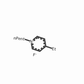 CCCCC[n+]1ccc(CC)cc1.[F-]